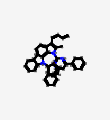 C=C/C=C\c1c(C)n(-c2nc(-c3ccccc3)cc(-c3ccccc3)n2)c2c1ccc1c3ccccc3n(-c3ccccc3)c12